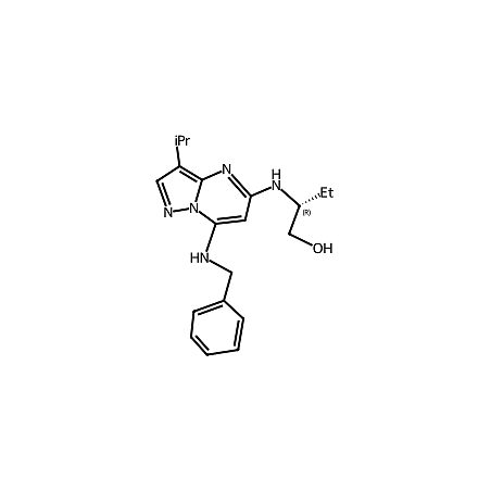 CC[C@H](CO)Nc1cc(NCc2ccccc2)n2ncc(C(C)C)c2n1